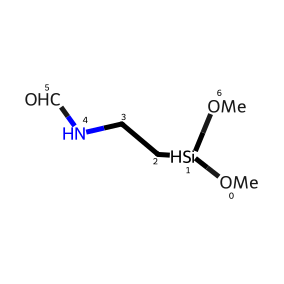 CO[SiH](CCNC=O)OC